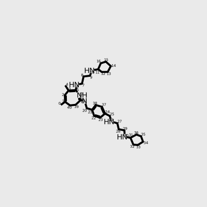 C/C1=C/C(C)=C(NCCCNC2CCCCC2)\N=C(\NCc2ccc(CNCCCNC3CCCCC3)cc2)CC1